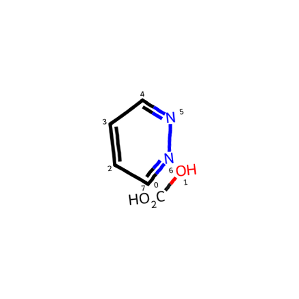 O=C(O)O.c1ccnnc1